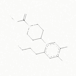 Cc1cc(CCCO)c(C2CCN(C(=O)OC(C)(C)C)CC2)cc1Cl